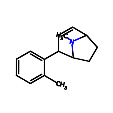 Cc1ccccc1C1C=CC2CCC1N2C